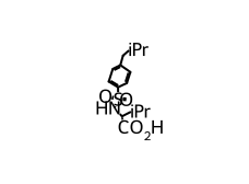 CC(C)Cc1ccc(S(=O)(=O)N[C@H](C(=O)O)C(C)C)cc1